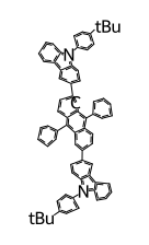 CC(C)(C)c1ccc(-n2c3ccccc3c3cc(-c4ccc5c(-c6ccccc6)c6cc(-c7ccc8c(c7)c7ccccc7n8-c7ccc(C(C)(C)C)cc7)ccc6c(-c6ccccc6)c5c4)ccc32)cc1